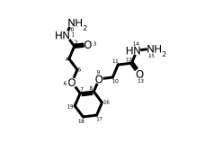 NNC(=O)CCOC1=C(OCCC(=O)NN)CCCC1